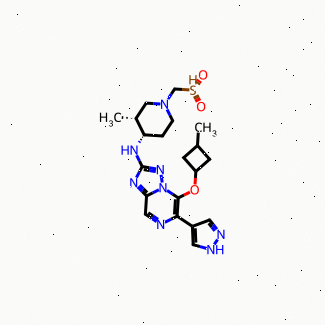 CC1CC(Oc2c(-c3cn[nH]c3)ncc3nc(N[C@H]4CCN(C[SH](=O)=O)C[C@H]4C)nn23)C1